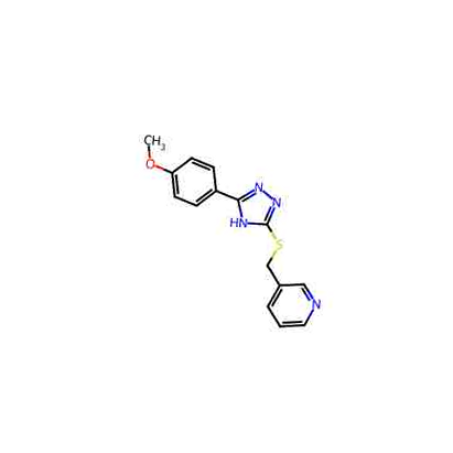 COc1ccc(-c2nnc(SCc3cccnc3)[nH]2)cc1